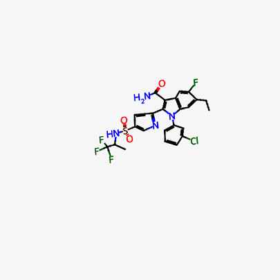 CCc1cc2c(cc1F)c(C(N)=O)c(-c1ccc(S(=O)(=O)NC(C)C(F)(F)F)cn1)n2-c1cccc(Cl)c1